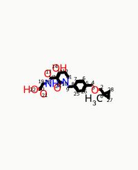 CC1(COCc2ccc(CN3CCC(O)=C(C(=O)NCC(=O)O)C3=O)cc2)CC1